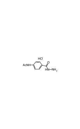 CC(=O)Nc1ccc(C(=O)NN)cc1.Cl